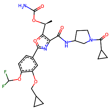 C[C@H](OC(N)=O)c1oc(-c2ccc(OC(F)F)c(OCC3CC3)c2)nc1C(=O)NC1CCN(C(=O)C2CC2)C1